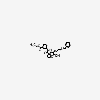 CCOC(=O)C1CCCC(NC(=O)C2(CC(CCCCOCc3ccccc3)C(=O)O)CCCC2)C1